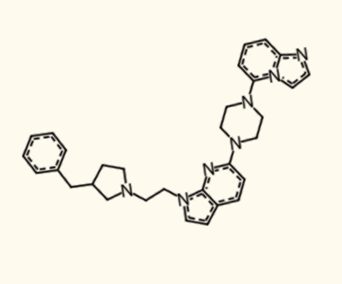 c1ccc(CC2CCN(CCn3ccc4ccc(N5CCN(c6cccc7nccn67)CC5)nc43)C2)cc1